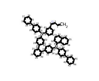 C=C/C=C\c1cccc(N(c2ccc(-c3ccccc3)cc2)c2ccc(-c3ccccc3-c3ccc(N(c4ccc(-c5ccccc5)cc4)c4cccc5ccccc45)cc3)cc2)c1